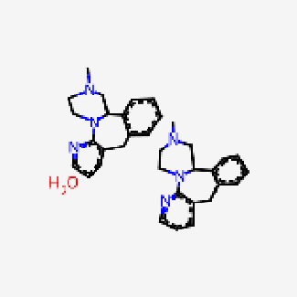 CN1CCN2c3ncccc3Cc3ccccc3C2C1.CN1CCN2c3ncccc3Cc3ccccc3C2C1.O